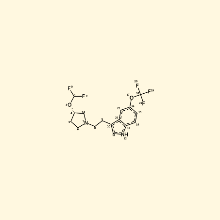 FC(F)O[C@H]1CCN(CCc2c[nH]c3ccc(OC(F)(F)F)cc23)C1